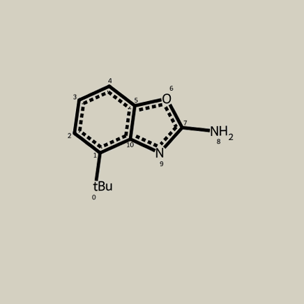 CC(C)(C)c1cccc2oc(N)nc12